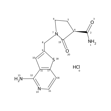 Cl.NC(=O)[C@@H]1CCN(Cc2cc3c(N)nccc3s2)C1=O